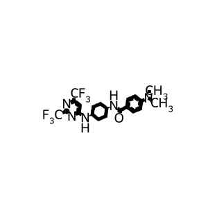 CN(C)c1ccc(C(=O)N[C@H]2CC[C@@H](Nc3cc(C(F)(F)F)nc(C(F)(F)F)n3)CC2)cc1